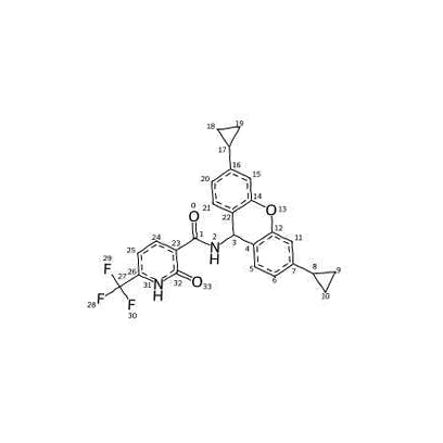 O=C(NC1c2ccc(C3CC3)cc2Oc2cc(C3CC3)ccc21)c1ccc(C(F)(F)F)[nH]c1=O